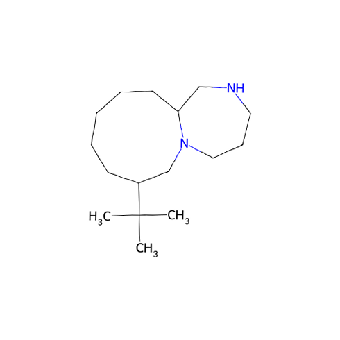 CC(C)(C)C1CCCCCC2CNCCCN2C1